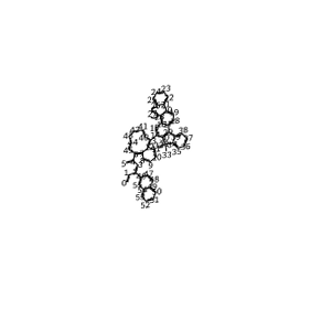 C=C/C(=C\C(=C)C1=c2\cccc\c2=C(c2cc3c(ccc4c5ccccc5sc34)c3c2C(C)(C)c2ccccc2-3)\C=C\CC\C=C\1)c1ccc2ccccc2c1